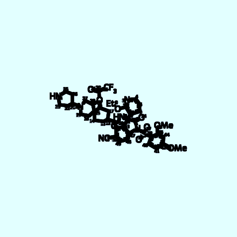 CCOc1ncccc1C1(NC(=O)C2CCC3(CC2)CCN(C2CCNCC2)CC3OC(=O)C(F)(F)F)C(=O)N(S(=O)(=O)c2ccc(OC)cc2OC)c2ccc(C#N)cc21